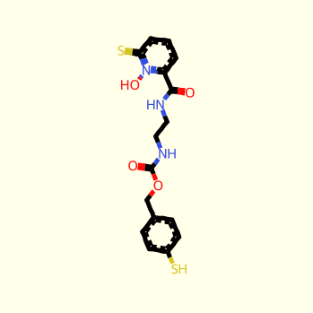 O=C(NCCNC(=O)c1cccc(=S)n1O)OCc1ccc(S)cc1